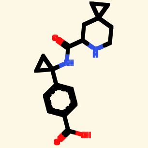 O=C(O)c1ccc(C2(NC(=O)C3CC4(CCN3)CC4)CC2)cc1